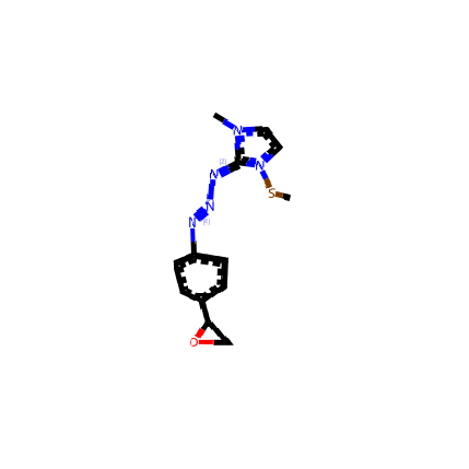 CSn1ccn(C)/c1=N/N=N/c1ccc(C2CO2)cc1